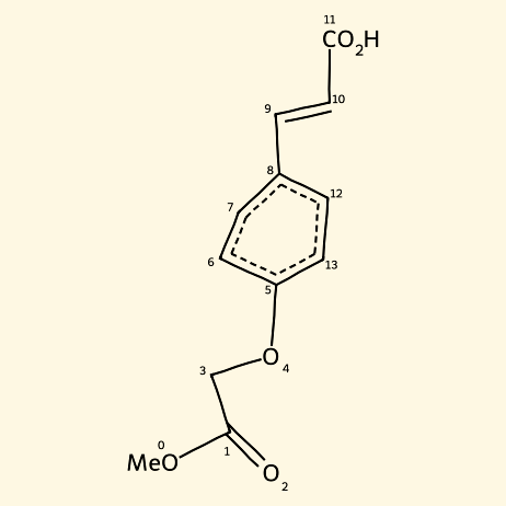 COC(=O)COc1ccc(C=CC(=O)O)cc1